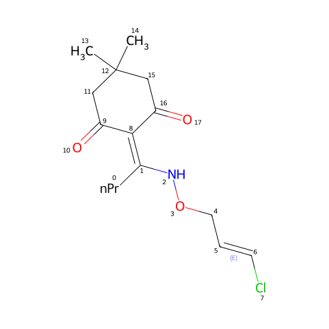 CCCC(NOC/C=C/Cl)=C1C(=O)CC(C)(C)CC1=O